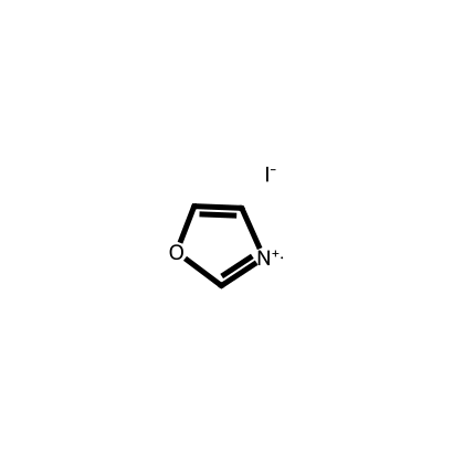 C1=COC=[N+]1.[I-]